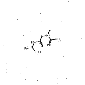 CC(C)[C@H](NC(=O)CN(C)C(=N)N)C(=O)O